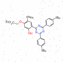 CCCCCCc1cc(-c2nc(-c3ccc(C(C)(C)C)cc3)nc(-c3ccc(C(C)(C)C)cc3)n2)c(O)cc1OCC(=O)OCC